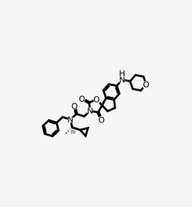 C[C@@H](C1CC1)N(Cc1ccccc1)C(=O)CN1C(=O)OC2(CCc3cc(NC4CCOCC4)ccc32)C1=O